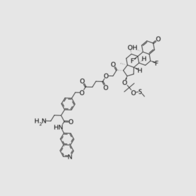 CSOC(C)(C)O[C@@H]1C[C@H]2[C@@H]3C[C@H](F)C4=CC(=O)C=C[C@]4(C)[C@@]3(F)[C@@H](O)C[C@]2(C)[C@H]1C(=O)COC(=O)CCC(=O)OCc1ccc(C(CCN)C(=O)Nc2ccc3cnccc3c2)cc1